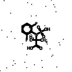 CC(C)(C(=O)O)N(c1c(F)cccc1F)S(=O)(=O)O